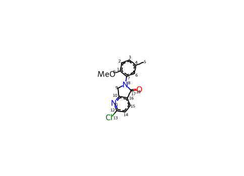 COc1ccc(C)cc1N1Cc2nc(Cl)ccc2C1=O